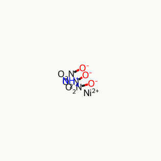 O=[N+]([O-])[O-].O=[N+]([O-])[O-].O=[N+]([O-])[O-].[NH4+].[Ni+2]